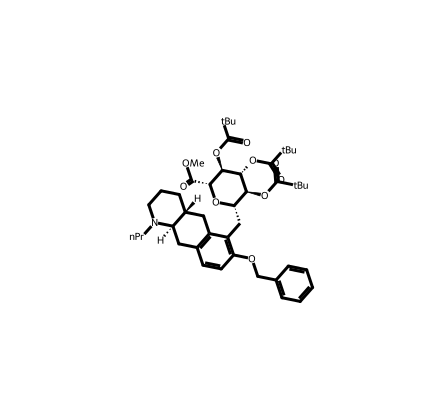 CCCN1CCC[C@@H]2Cc3c(ccc(OCc4ccccc4)c3C[C@@H]3O[C@H](C(=O)OC)[C@@H](OC(=O)C(C)(C)C)[C@H](OC(=O)C(C)(C)C)[C@H]3OC(=O)C(C)(C)C)C[C@H]21